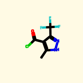 Cc1[nH]nc(C(F)(F)F)c1C(=O)Cl